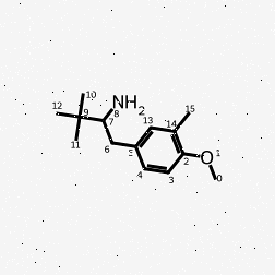 COc1ccc(CC(N)C(C)(C)C)cc1C